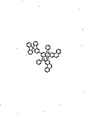 c1ccc(N2c3cc4c(ccc5ccccc54)cc3B3c4cc5ccc6ccccc6c5cc4N(c4ccccc4)c4cc(-c5ccc6c(c5)-c5ccccc5C65c6ccccc6-c6ccccc65)cc2c43)cc1